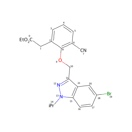 CCOC(=O)Cc1cccc(C#N)c1OCc1nn(C(C)C)c2ccc(Br)cc12